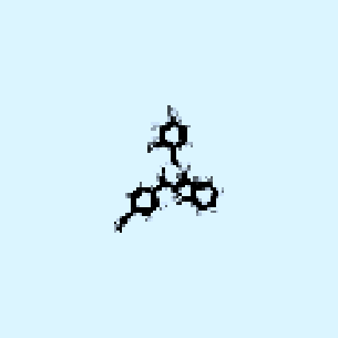 N#Cc1ccc(C(=O)c2sc3ccccc3c2OCc2ccc(F)cc2F)cc1